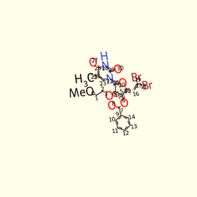 COCCO[C@@H]1[C@H](OC(=O)c2ccccc2)[C@@H](C=C(Br)Br)O[C@H]1n1cc(C)c(=O)[nH]c1=O